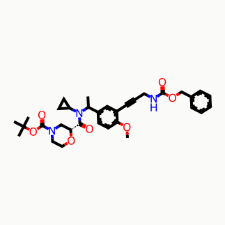 COc1ccc(C(C)N(C(=O)[C@H]2CN(C(=O)OC(C)(C)C)CCO2)C2CC2)cc1C#CCNC(=O)OCc1ccccc1